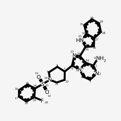 Nc1nccn2c(C3CCN(S(=O)(=O)c4ccccc4F)CC3)nc(-c3cc4ccccc4[nH]3)c12